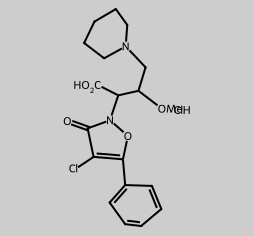 COC(CN1CCCCC1)C(C(=O)O)n1oc(-c2ccccc2)c(Cl)c1=O.Cl